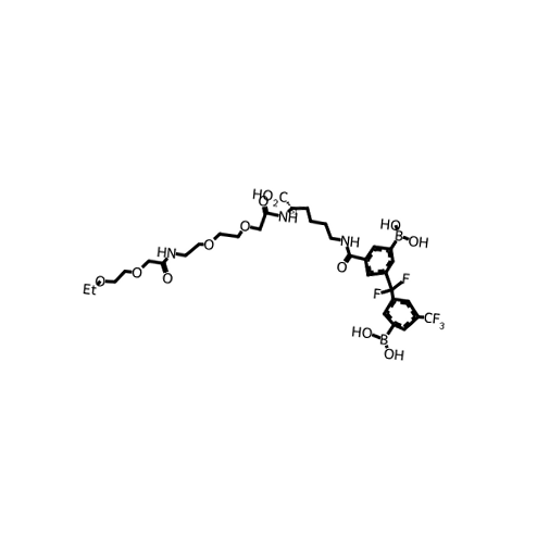 CCOCCOCC(=O)NCCOCCOCC(=O)N[C@@H](CCCCNC(=O)c1cc(B(O)O)cc(C(F)(F)c2cc(B(O)O)cc(C(F)(F)F)c2)c1)C(=O)O